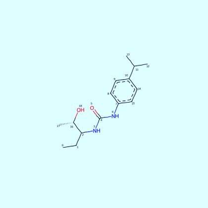 CCC(NC(=O)Nc1ccc(C(C)C)cc1)[C@H](C)O